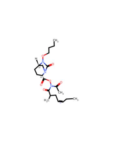 CC/C=C\CC(C)C(=O)N(OC(=O)[C@@H]1CC[C@H]2CN1C(=O)N2OCCCC)C(C)=O